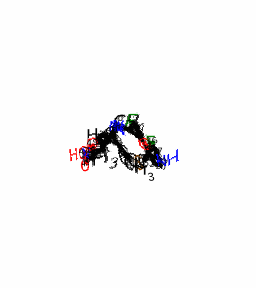 Cn1nc2nc1-c1cc(ccc1F)Oc1c(F)cc3[nH]ccc3c1CCSCC(C)(C)CCCC2(C)c1cccc(CC2CC(=O)N(O)C2=O)c1